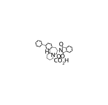 O=C(O)[C@@H]1CCC[C@@H]2c3cc(-c4ccccc4)ccc3C[C@H](N3C(=O)c4ccccc4C3=O)C(=O)N21